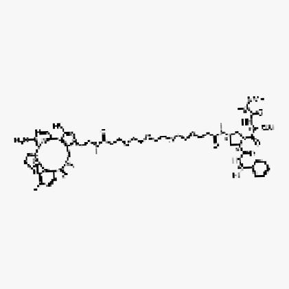 CC[C@H](NC(=O)[C@H]1C[C@@H](NC(=O)CCOCCOCCOCCOCCC(=O)NCCn2nc(C#N)c3c2CN(C)C(=O)c2ccc(F)cc2[C@H]2CCCN2c2nc-3cnc2N)CN1C(=O)[C@H](NC(=O)[C@@H](C)NC)C(C)(C)C)c1ccccc1